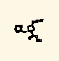 CC(C)(C)OC(=O)N1C[C@H](N=[N+]=[N-])C[C@H]1Cn1cccn1